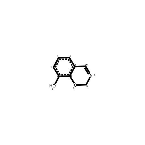 Oc1cccc2c1OCN=C2